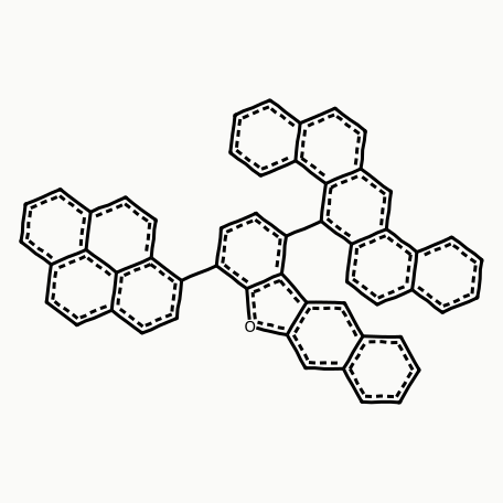 c1ccc2cc3c(cc2c1)oc1c(-c2ccc4ccc5cccc6ccc2c4c56)ccc(-c2c4ccc5ccccc5c4cc4ccc5ccccc5c24)c13